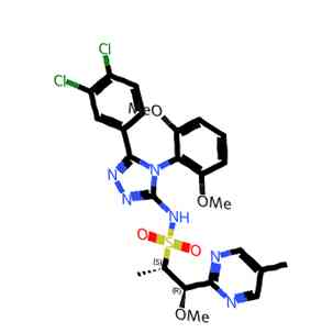 COc1cccc(OC)c1-n1c(NS(=O)(=O)[C@@H](C)[C@H](OC)c2ncc(C)cn2)nnc1-c1ccc(Cl)c(Cl)c1